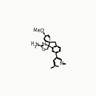 C=N/C=C(\C=C(C)C)c1ccc2c(c1)C1(COC(N)=N1)[C@]1(CC[C@H](OC)CC1)C2